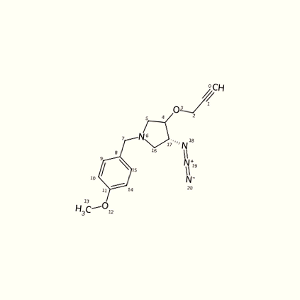 C#CCOC1CN(Cc2ccc(OC)cc2)C[C@H]1N=[N+]=[N-]